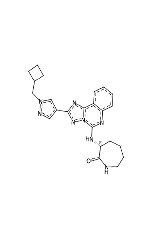 O=C1NCCCC[C@H]1Nc1nc2ccccc2c2nc(-c3cnn(CC4CCC4)c3)nn12